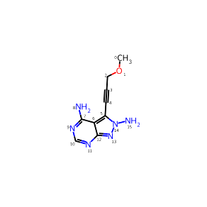 COCC#Cc1c2c(N)ncnc2nn1N